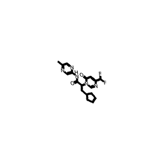 Cc1cnc(NC(=O)C(CC2CCCC2)n2cnc(C(F)F)cc2=O)cn1